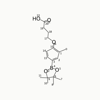 Cc1cc(B2OC(C)(C)C(C)(C)O2)ccc1OCCCC(=O)O